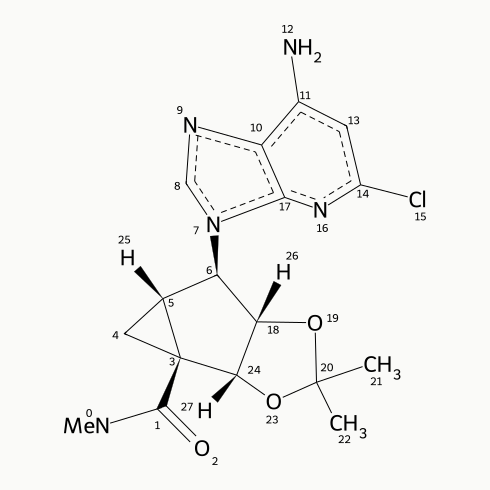 CNC(=O)[C@@]12C[C@@H]1[C@@H](n1cnc3c(N)cc(Cl)nc31)[C@@H]1OC(C)(C)O[C@@H]12